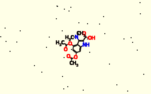 CC(=O)Oc1cc(OC(C)=O)c2c(N(C)C)c(C(=O)O)[nH]c2c1